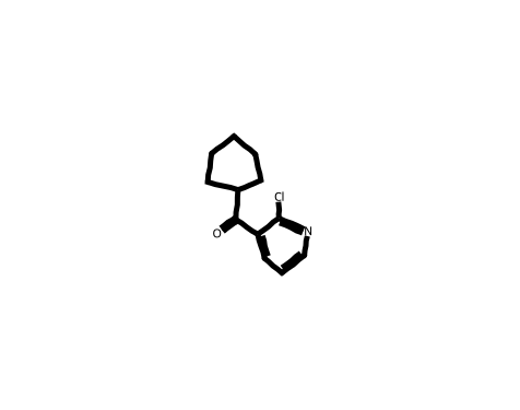 O=C(c1cccnc1Cl)C1CCCCC1